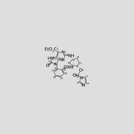 CCOC(=O)c1nc(N[C@H]2CC[C@@H](OC(=O)n3ccnc3)CC2)nc2c1[nH]c(=O)n2-c1ccccc1OC